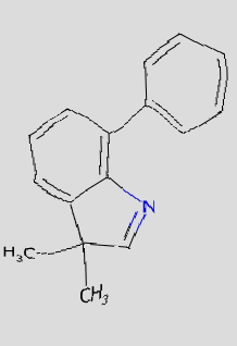 CC1(C)C=Nc2c(-c3ccccc3)cccc21